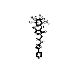 C[C@@H]1[C@@H](C)C(C)(C)[C@@H](C)C[C@H]1Nc1cnn(CC(=O)Nc2nc(-c3ccncc3)cs2)c(=O)c1Cl